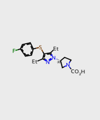 CCc1nn([C@@H]2CCN(C(=O)O)C2)c(CC)c1Sc1ccc(F)cc1